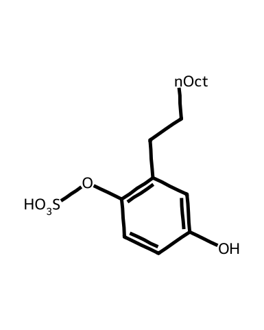 CCCCCCCCCCc1cc(O)ccc1OS(=O)(=O)O